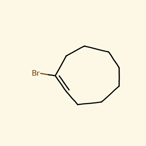 BrC1=CCCCCCCC1